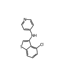 Clc1cccc2scc(Nc3ccncc3)c12